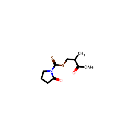 COC(=O)C(C)CSC(=S)N1CCCC1=O